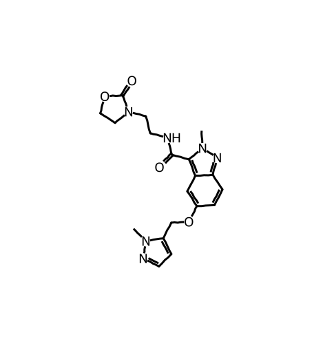 Cn1nccc1COc1ccc2nn(C)c(C(=O)NCCN3CCOC3=O)c2c1